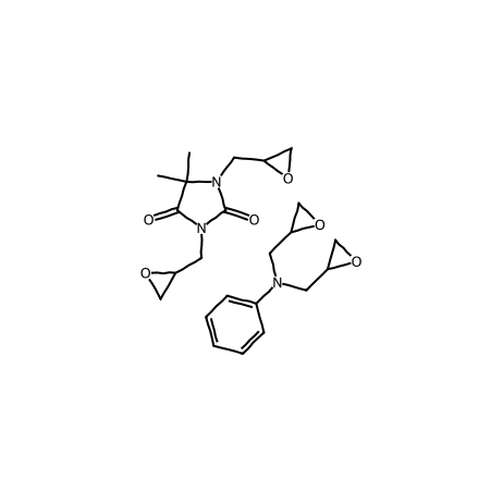 CC1(C)C(=O)N(CC2CO2)C(=O)N1CC1CO1.c1ccc(N(CC2CO2)CC2CO2)cc1